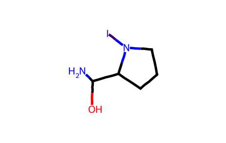 NC(O)C1CCCN1I